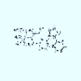 CCSc1nc(C(=O)O)c(C(C)(C)O)n1Cc1ccc(-c2ccccc2-c2nnn[nH]2)cc1